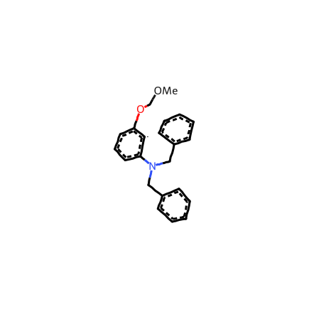 COCOc1[c]c(N(Cc2ccccc2)Cc2ccccc2)ccc1